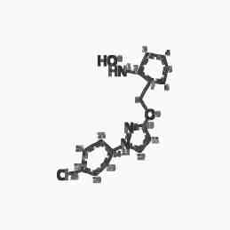 ONc1ccccc1COc1ccn(-c2ccc(Cl)cc2)n1